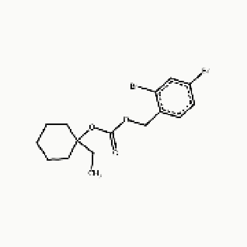 CCC1(OC(=O)OCc2ccc(Br)cc2Br)CCCCC1